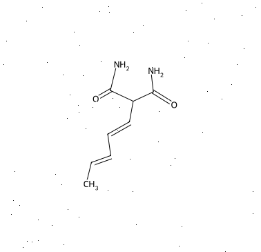 CC=CC=CC(C(N)=O)C(N)=O